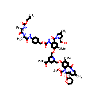 C=CCOC(=O)N[C@H](C(=O)N[C@@H](C)C(=O)Nc1ccc(COC(=O)Nc2cc(OCc3cc(C(=O)OC)cc(COc4cc5c(cc4OC)C(=O)N4CC(=C)C[C@H]4[C@H](OC4CCCCO4)N5C(=O)OC(C)(C)C)n3)c(OC)cc2C(=O)N2CC(=C)C[C@H]2CO)cc1)C(C)C